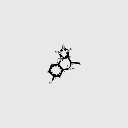 CC1Nc2cc(F)ccc2-n2nnnc21